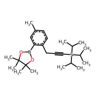 Cc1ccc(CC#C[Si](C(C)C)(C(C)C)C(C)C)c(B2OC(C)(C)C(C)(C)O2)c1